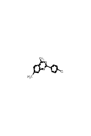 Cc1ccc2c(C)nc(-c3ccc(Cl)cc3)nc2c1